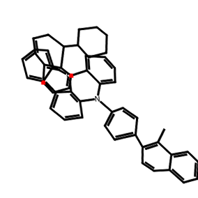 Cc1c(-c2ccc(N(c3ccccc3-c3cccc4c3C(C3CCCCC3)CC=C4)c3cccc4c3oc3ccccc34)cc2)ccc2ccccc12